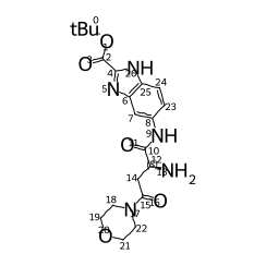 CC(C)(C)OC(=O)c1nc2cc(NC(=O)[C@@H](N)CC(=O)N3CCOCC3)ccc2[nH]1